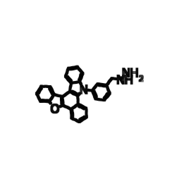 NNCc1cccc(-n2c3ccccc3c3c4c5ccccc5oc4c4ccccc4c32)c1